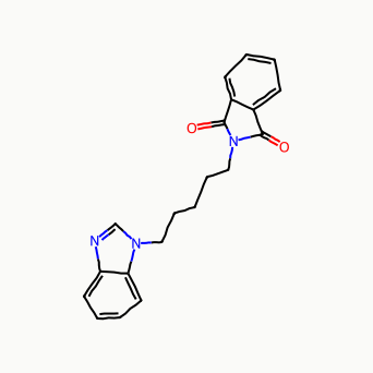 O=C1c2ccccc2C(=O)N1CCCCCn1cnc2ccccc21